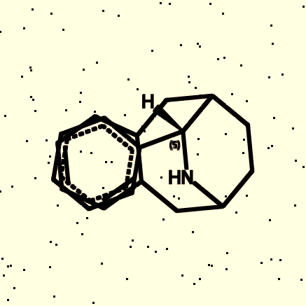 C1=CCC2CC3CCC(CC2=C1)N[C@@H]3c1ccccc1